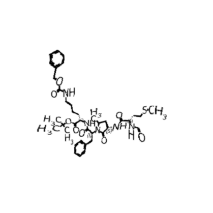 CSCC[C@H](NC=O)C(=O)N[C@H]1CC(C)N([C@@H](Cc2ccccc2)C(=O)N[C@@H](CCCCNC(=O)OCc2ccccc2)C(=O)OC(C)(C)C)C1=O